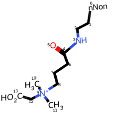 CCCCCCCCCCCNC(=O)CCC[N+](C)(C)CC(=O)O